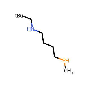 CPCCCCNCC(C)(C)C